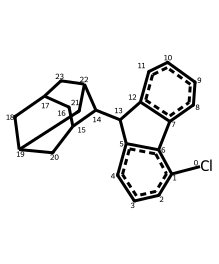 Clc1cccc2c1-c1ccccc1C2C1C2CC3CC(C2)CC1C3